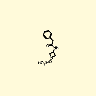 O=C(Cc1ccccc1)NC1CN(OS(=O)(=O)O)C1